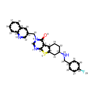 O=c1c2c3c(sc2ncn1Cc1cnc2ccccc2c1)C[C@H](NCc1ccc(F)cc1)CC3